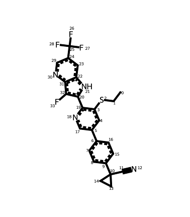 CCSc1cc(-c2ccc(C3(C#N)CC3)cc2)cnc1-c1[nH]c2cc(C(F)(F)F)cnc2c1F